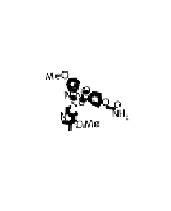 COc1ccc2c(c1)nc(SCc1ncc(C)c(OC)c1C)n2S(=O)(=O)c1ccc(OCC(N)=O)cc1